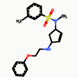 Cc1cccc(S(=O)(=O)N(C)C2C=CC(NCCOc3ccccc3)C2)c1